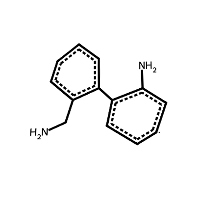 NCc1ccccc1-c1cc[c]cc1N